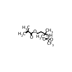 C=C(C)C(=O)OCCC(C)(C)NS(=O)(=O)C(F)(F)F